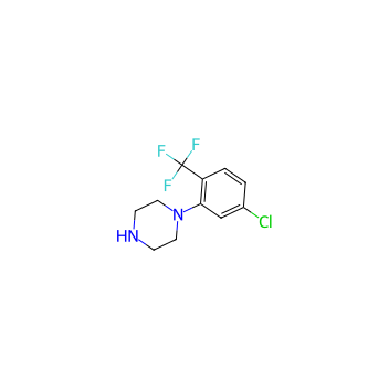 FC(F)(F)c1ccc(Cl)cc1N1CCNCC1